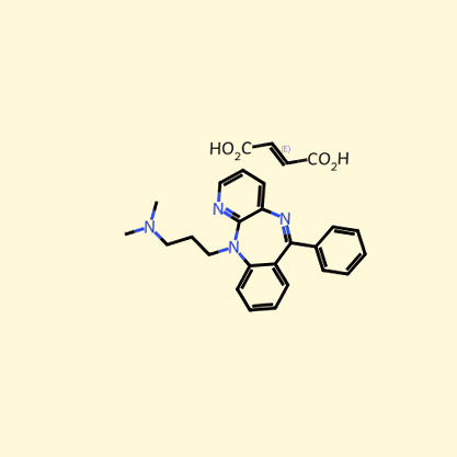 CN(C)CCCN1c2ccccc2C(c2ccccc2)=Nc2cccnc21.O=C(O)/C=C/C(=O)O